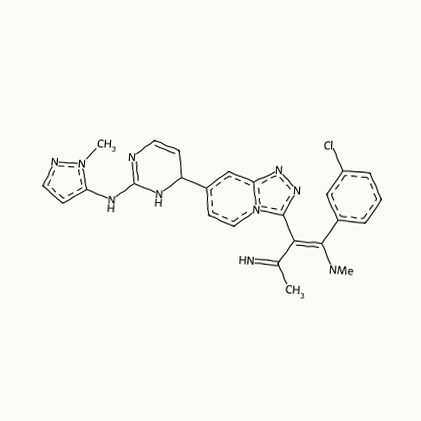 CN/C(=C(\C(C)=N)c1nnc2cc(C3C=CN=C(Nc4ccnn4C)N3)ccn12)c1cccc(Cl)c1